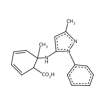 Cc1cc(NC2(C)C=CC=CC2C(=O)O)n(-c2ccccc2)n1